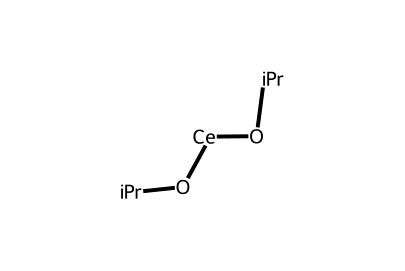 CC(C)[O][Ce][O]C(C)C